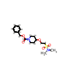 CN(C)S(=O)(=O)CCOC1CCN(C(=O)OCc2ccccc2)CC1